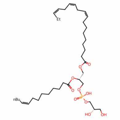 CC/C=C\C/C=C\C/C=C\CCCCCCCC(=O)OC[C@H](COP(=O)(O)OC[C@@H](O)CO)OC(=O)CCCCCCC/C=C\CCCC